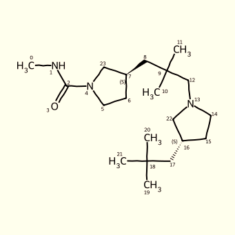 CNC(=O)N1CC[C@H](CC(C)(C)CN2CC[C@H](CC(C)(C)C)C2)C1